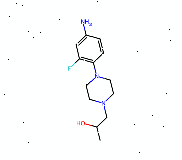 CC(O)CN1CCN(c2ccc(N)cc2F)CC1